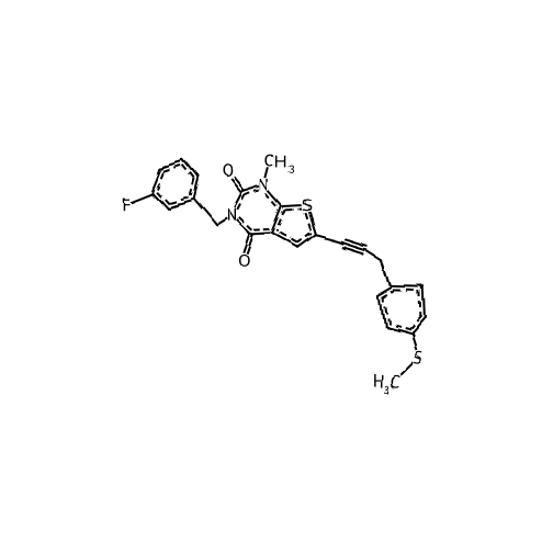 CSc1ccc(CC#Cc2cc3c(=O)n(Cc4cccc(F)c4)c(=O)n(C)c3s2)cc1